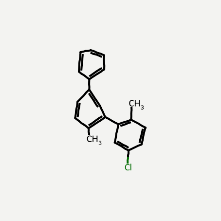 Cc1ccc(Cl)cc1-c1cc(-c2ccccc2)ccc1C